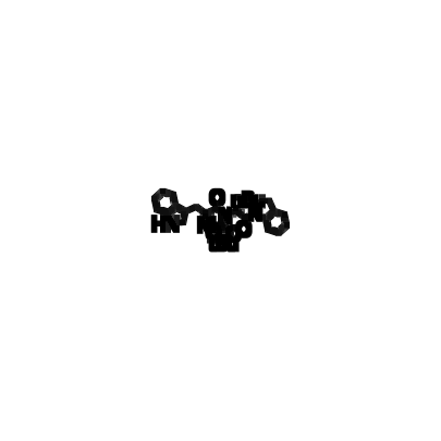 CCCC[C@@H](C(=O)N1CCc2ccccc21)N(C(=O)OC(C)(C)C)C(=O)[C@@H](N)Cc1c[nH]c2ccccc12